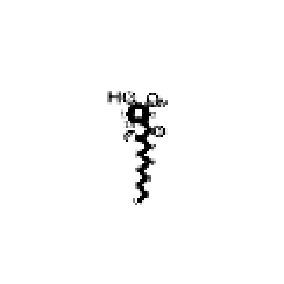 CCCCCCCCC(=O)C(=O)c1ccc(O)c(OC)c1